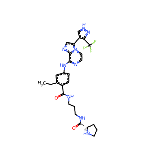 CCc1cc(Nc2nccn3c(-c4c[nH]nc4C(F)(F)F)cnc23)ccc1C(=O)NCCCNC(=O)[C@@H]1CCCN1